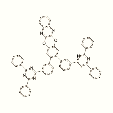 c1ccc(-c2nc(-c3ccccc3)nc(-c3cccc(-c4cc5c(cc4-c4cccc(-c6nc(-c7ccccc7)nc(-c7ccccc7)n6)c4)Oc4nc6ccccc6nc4O5)c3)n2)cc1